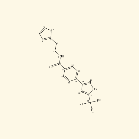 O=C(NCCc1cccs1)c1ccc(-c2noc(C(F)(F)F)n2)cc1